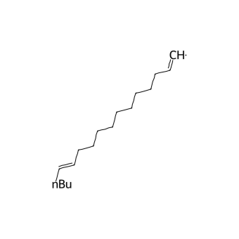 [CH]=CCCCCCCCCCC=CCCCC